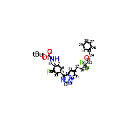 CC(C)(C)OC(=O)NCc1ccc(-c2ncnn3cc(CCC(F)(F)COCc4ccccc4)cc23)cc1F